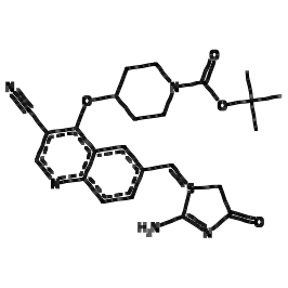 CC(C)(C)OC(=O)N1CCC(Oc2c(C#N)cnc3ccc(/C=S4/CC(=O)N=C4N)cc23)CC1